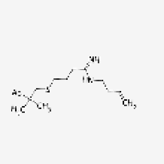 C=CCCNC(=N)CCCSCC(C)(C)C(C)=O